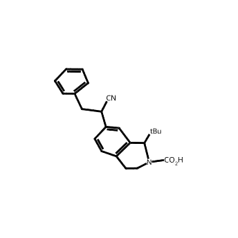 CC(C)(C)C1c2cc(C(C#N)Cc3ccccc3)ccc2CCN1C(=O)O